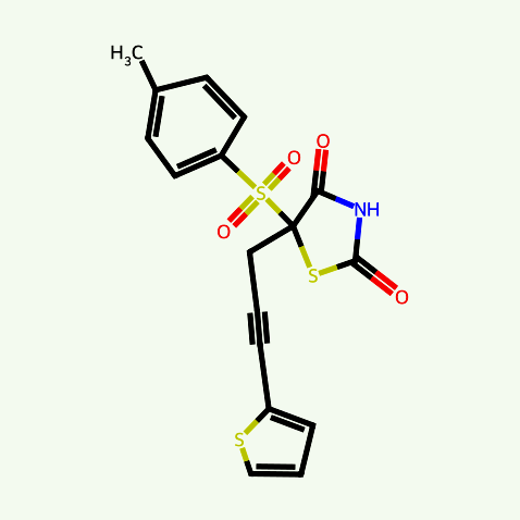 Cc1ccc(S(=O)(=O)C2(CC#Cc3cccs3)SC(=O)NC2=O)cc1